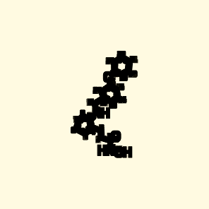 O=C(C=Cc1ccccc1NCc1cccc(Oc2ccccc2)c1)NO